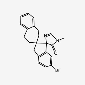 CN1C=NC2(C1=O)c1cc(Br)ccc1CC21CCc2ccccc2CC1